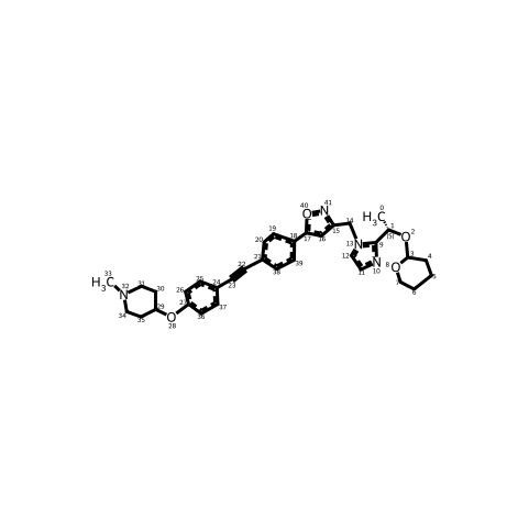 C[C@H](OC1CCCCO1)c1nccn1Cc1cc(-c2ccc(C#Cc3ccc(OC4CCN(C)CC4)cc3)cc2)on1